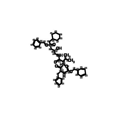 CC(C)[C@H](NC(=O)[C@H](Cc1ccccc1)NC(=O)OCc1ccccc1)C(=O)NC[C@@H](O)CP(=O)(CC1CCCCC1)OCc1ccccc1